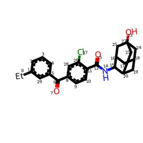 CCc1cccc(C(=O)c2ccc(C(=O)NC3C4CC5CC3CC(O)(C5)C4)c(Cl)c2)c1